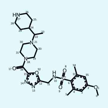 COc1cc(C)c(S(=O)(=O)NCc2nnc(C(=O)N3CCN(C(C)C4CCNCC4)CC3)o2)c(C)c1